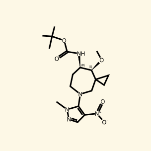 CO[C@@H]1[C@H](NC(=O)OC(C)(C)C)CCN(c2c([N+](=O)[O-])cnn2C)CC12CC2